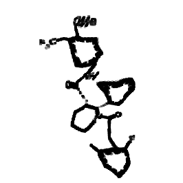 COc1ccc(NC(=O)[C@H]2CCCN(C(=O)c3c(C)cccc3F)[C@H]2c2ccccc2)cc1C(F)(F)F